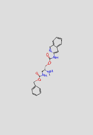 CN[C@@H](CNC(=O)OCc1ccccc1)COC(=O)Nc1cc2ccccc2cn1